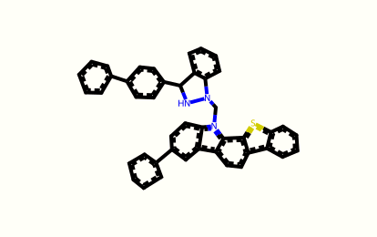 c1ccc(-c2ccc(C3NN(Cn4c5ccc(-c6ccccc6)cc5c5ccc6c7ccccc7sc6c54)c4ccccc43)cc2)cc1